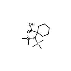 C[Si](C)(C)N(C1(C(=O)O)CCCCC1)[Si](C)(C)C